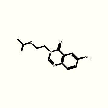 CC(I)OCCn1cnc2ccc(N)cc2c1=O